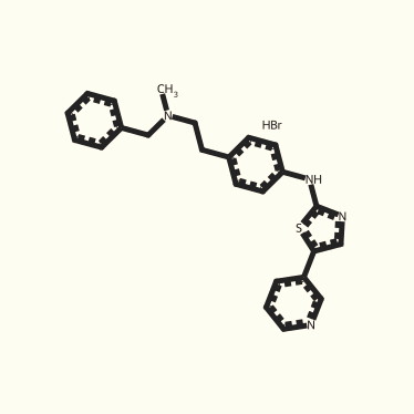 Br.CN(CCc1ccc(Nc2ncc(-c3cccnc3)s2)cc1)Cc1ccccc1